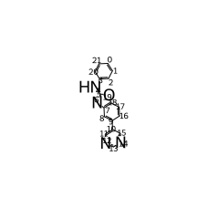 c1ccc(Nc2nc3cc(-c4cncnc4)ccc3o2)cc1